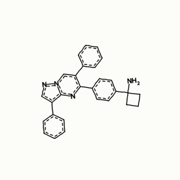 NC1(c2ccc(-c3nc4c(-c5ccccc5)cnn4cc3-c3ccccc3)cc2)CCC1